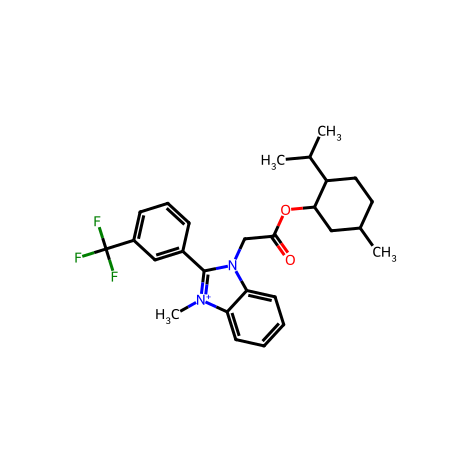 CC1CCC(C(C)C)C(OC(=O)Cn2c(-c3cccc(C(F)(F)F)c3)[n+](C)c3ccccc32)C1